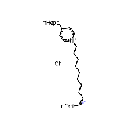 CCCCCCCC/C=C\CCCCCCCC[n+]1ccc(CCCCCCC)cc1.[Cl-]